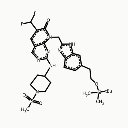 CC(C)(C)[Si](C)(C)OCCc1ccc2nc(Cn3c(=O)c(C(F)F)cc4cnc(NC5CCN(S(C)(=O)=O)CC5)nc43)[nH]c2c1